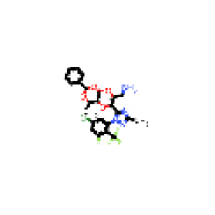 Cc1nc(C(OC2COC(c3ccccc3)OC2C)[C@@H](O)CN)n(-c2cc(Cl)cc(F)c2C(F)(F)F)n1